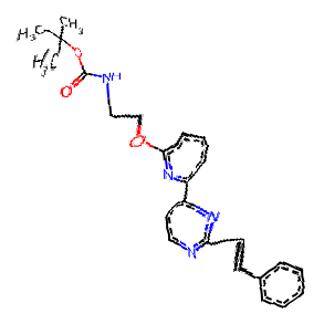 CC(C)(C)OC(=O)NCCOc1cccc(-c2ccnc(C=Cc3ccccc3)n2)n1